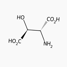 N[C@@H](C(=O)O)[C@H](O)C(=O)O